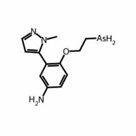 Cn1nccc1-c1cc(N)ccc1OCC[AsH2]